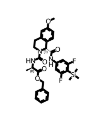 COc1ccc2c(c1)CCN(C(=O)N[C@H](C)C(=O)OCc1ccccc1)[C@H]2C(=O)Nc1cc(F)c([Si](C)(C)C)c(F)c1